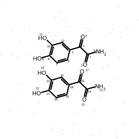 NC(=O)C(=O)c1ccc(O)c(O)c1.NC(=O)C(=O)c1ccc(O)c(O)c1